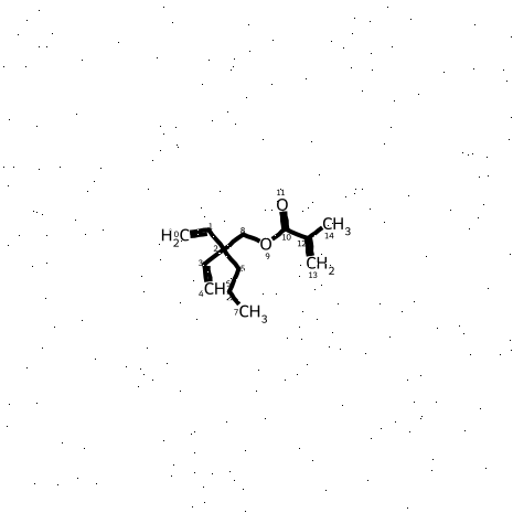 C=CC(C=C)(CCC)COC(=O)C(=C)C